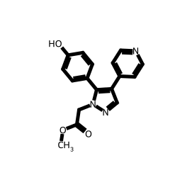 COC(=O)Cn1ncc(-c2ccncc2)c1-c1ccc(O)cc1